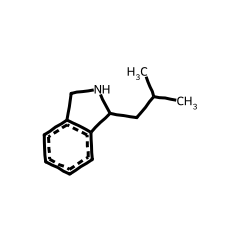 CC(C)CC1NCc2ccccc21